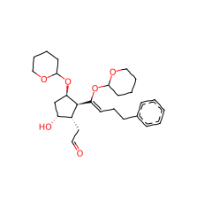 O=CC[C@H]1[C@H](/C(=C/CCc2ccccc2)OC2CCCCO2)[C@H](OC2CCCCO2)C[C@H]1O